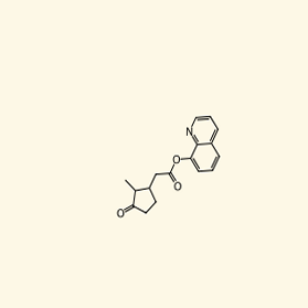 CC1C(=O)CCC1CC(=O)Oc1cccc2cccnc12